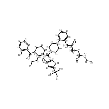 CCC[C@H]1N(C(=O)c2cnccc2C)CCC[C@@]1(Oc1csc(C(F)(F)F)c1)C(=O)N1CCN(c2ccccc2NC(=O)NCC(=O)OCC)CC1